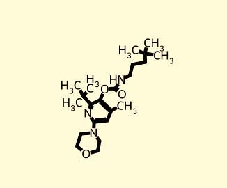 Cc1cc(N2CCOCC2)nc(C(C)(C)C)c1OC(=O)NCCCC(C)(C)C